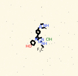 C[C@H]1CN(Cc2ccc(-c3cn([C@H]4CC[C@H](O)CC4)c4nc(NCCC(F)(F)F)ncc34)cc2)CCN1.Cl